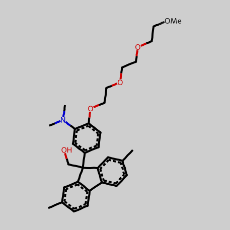 COCCOCCOCCOc1ccc(C2(CO)c3cc(C)ccc3-c3ccc(C)cc32)cc1N(C)C